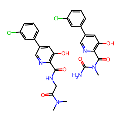 CN(C(N)=O)C(=O)c1ncc(-c2cccc(Cl)c2)cc1O.CN(C)C(=O)CNC(=O)c1ncc(-c2cccc(Cl)c2)cc1O